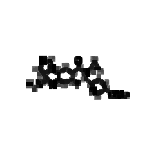 COc1ccc(CN(C(=O)c2cc3c(cc2F)nc(N)c2cncn23)C2CC2)nc1